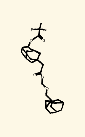 CC(F)(F)C(=O)OC1C2CC3CC1CC(CC(=O)OCOCC14CC5CC(CC(C5)C1)C4)(C3)C2